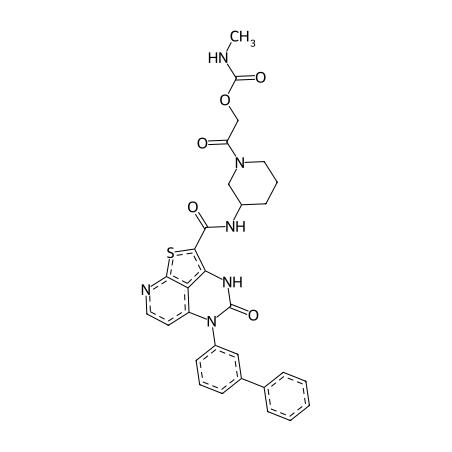 CNC(=O)OCC(=O)N1CCCC(NC(=O)c2sc3nccc4c3c2NC(=O)N4c2cccc(-c3ccccc3)c2)C1